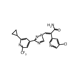 NC(=O)/C(=C/n1cnc(-c2cc(C3CC3)nc(C(F)(F)F)c2)n1)c1cncc(Cl)c1